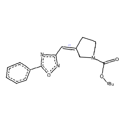 CC(C)(C)OC(=O)N1CC/C(=C/c2noc(-c3ccccc3)n2)C1